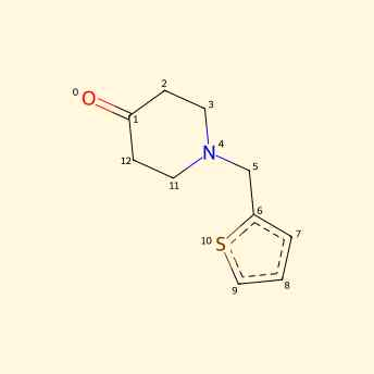 O=C1CCN(Cc2cccs2)CC1